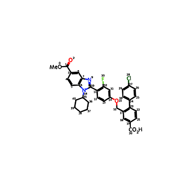 COC(=O)c1ccc2c(c1)nc(-c1ccc(OCc3cc(C(=O)O)ccc3-c3ccc(Cl)cc3)cc1F)n2C1CCCCC1